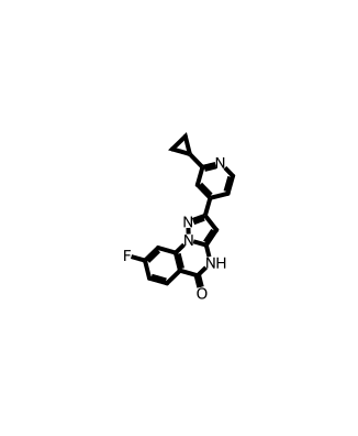 O=c1[nH]c2cc(-c3ccnc(C4CC4)c3)nn2c2cc(F)ccc12